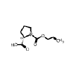 C=CCOC(=O)N1CCC[C@H]1C(=O)O